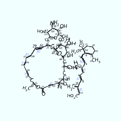 CC1=C(/C=C/C(C)=C/C=C/C(C)=C/C(=O)O)C(C)(C)CCC1.C[C@@H]1C/C=C/C=C/C=C/C=C/[C@H](O[C@@H]2O[C@H](C)[C@@H](O)[C@H](N)[C@@H]2O)C[C@@H]2O[C@](O)(C[C@@H](O)C[C@H]3O[C@@H]3/C=C/C(=O)O1)C[C@H](O)[C@H]2C(=O)O